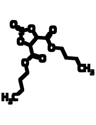 CCCCOC(=O)C1OS(=O)OC1C(=O)OCCCC